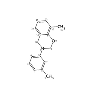 Cc1cccc(N2COc3c(C)cccc3C2)c1